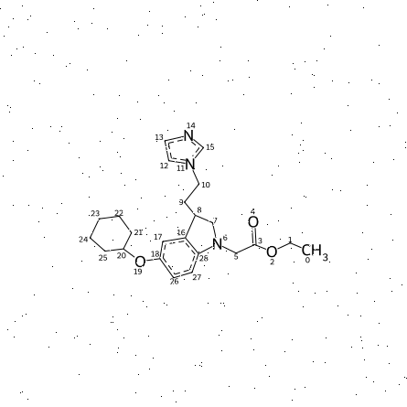 CCOC(=O)CN1CC(CCn2ccnc2)c2cc(OC3CCCCC3)ccc21